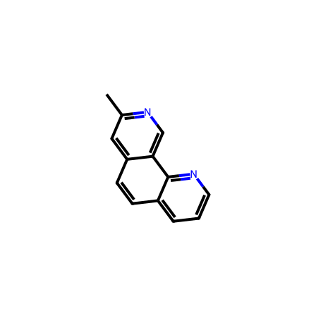 Cc1cc2ccc3cccnc3c2cn1